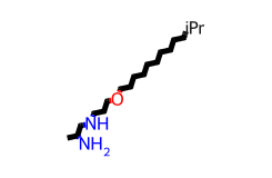 CC(C)CCCCCCCCCCOCCCNCC(C)N